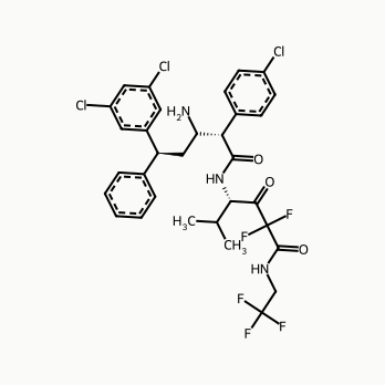 CC(C)[C@H](NC(=O)[C@@H](c1ccc(Cl)cc1)C(N)C[C@@H](c1ccccc1)c1cc(Cl)cc(Cl)c1)C(=O)C(F)(F)C(=O)NCC(F)(F)F